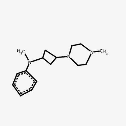 CN1CCN(C2CC(N(C)c3ccccc3)C2)CC1